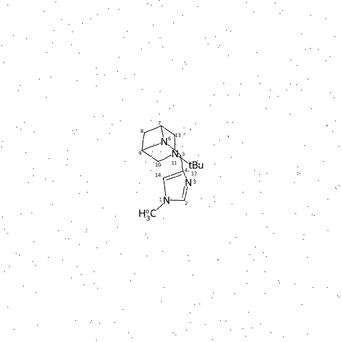 Cn1cnc(CN2C3CC2CN(C(C)(C)C)C3)c1